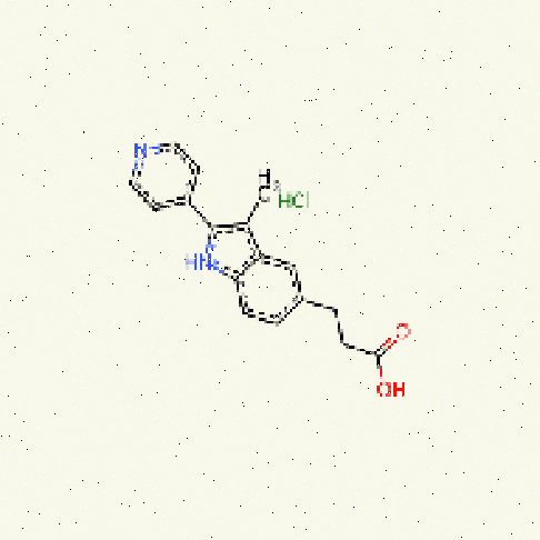 Cc1c(-c2ccncc2)[nH]c2ccc(CCC(=O)O)cc12.Cl